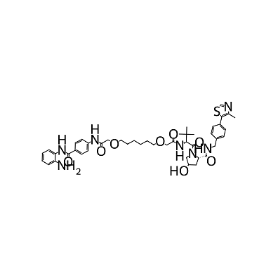 Cc1ncsc1-c1ccc(CNC(=O)[C@@H]2C[C@@H](O)CN2C(=O)[C@@H](NC(=O)COCCCCCCOCC(=O)Nc2ccc(C(=O)Nc3ccccc3N)cc2)C(C)(C)C)cc1